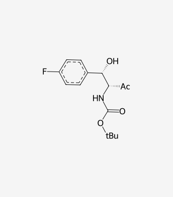 CC(=O)[C@H](NC(=O)OC(C)(C)C)[C@@H](O)c1ccc(F)cc1